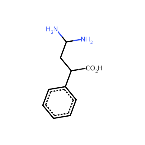 NC(N)CC(C(=O)O)c1ccccc1